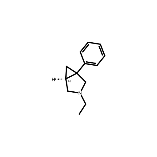 CCN1C[C@H]2CC2(c2ccccc2)C1